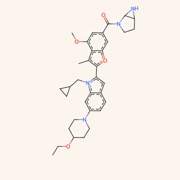 CCOC1CCN(c2ccc3cc(-c4oc5cc(C(=O)N6CCC7NC76)cc(OC)c5c4C)n(CC4CC4)c3c2)CC1